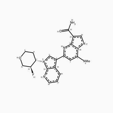 CNc1cc(-c2cn([C@H]3CCOC[C@@H]3F)c3ncccc23)nc2c(C(N)=O)cnn12